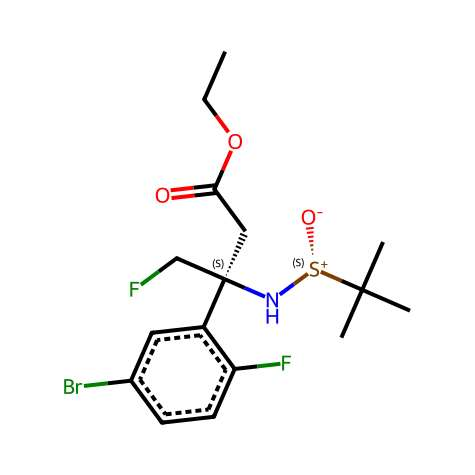 CCOC(=O)C[C@](CF)(N[S@+]([O-])C(C)(C)C)c1cc(Br)ccc1F